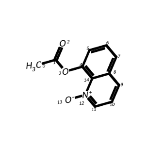 CC(=O)Oc1cccc2ccc[n+]([O-])c12